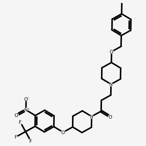 Cc1ccc(COC2CCN(CCC(=O)N3CCC(Oc4ccc([N+](=O)[O-])c(C(F)(F)F)c4)CC3)CC2)cc1